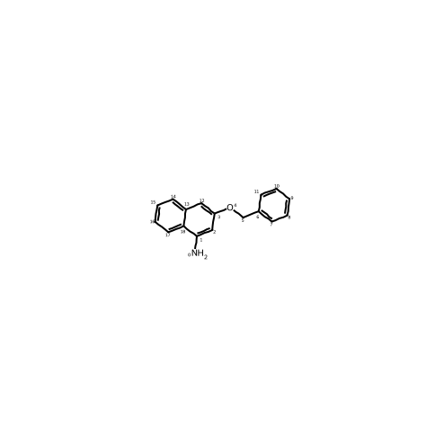 Nc1cc(OCc2ccccc2)cc2ccccc12